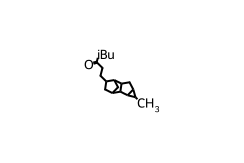 CCC(C)C(=O)CCC1CC2CC1C1CC3C(C)C3C21